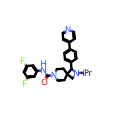 CC(C)N1CC2(CCN(C(=O)Nc3cc(F)cc(F)c3)CC2)C1c1ccc(-c2ccncc2)cc1